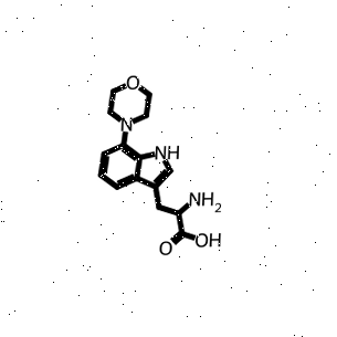 NC(Cc1c[nH]c2c(N3CCOCC3)cccc12)C(=O)O